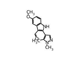 COc1ccc2[nH]c(-c3cnn(C)c3C)c(C=O)c2c1